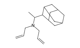 C=CCN(CC=C)C(C)C1C2CC3CC(C2)CC1C3